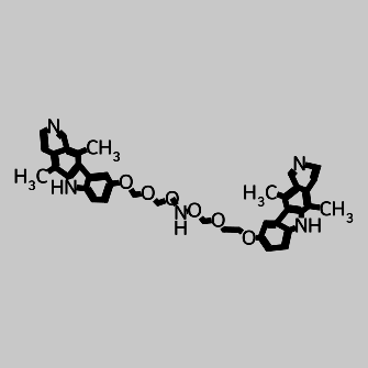 Cc1c2ccncc2c(C)c2c1[nH]c1ccc(OCCOCONOCOCOc3ccc4[nH]c5c(C)c6ccncc6c(C)c5c4c3)cc12